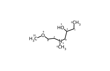 CCC(O)CN(C)CCOC